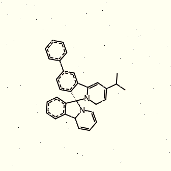 CC(C)C1=CCN2C(=C1)c1cc(-c3ccccc3)ccc1[C@]21c2ccccc2C2C=CC=CN21